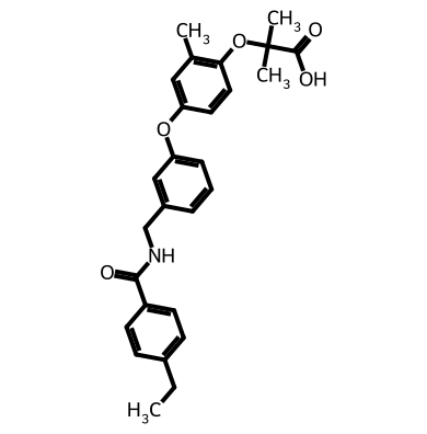 CCc1ccc(C(=O)NCc2cccc(Oc3ccc(OC(C)(C)C(=O)O)c(C)c3)c2)cc1